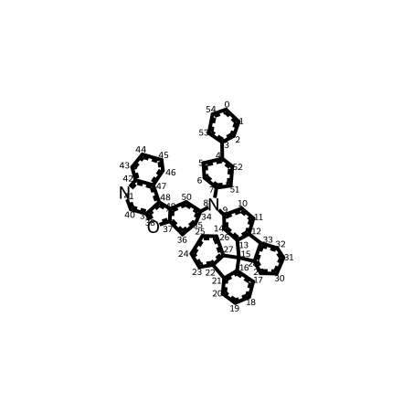 c1ccc(-c2ccc(N(c3ccc4c(c3)C3(c5ccccc5-c5ccccc53)c3ccccc3-4)c3ccc4oc5cnc6ccccc6c5c4c3)cc2)cc1